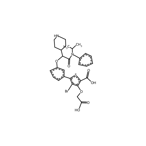 CC(C)N(C(=O)C(Oc1cccc(-c2sc(C(=O)O)c(OCC(=O)O)c2Br)c1)C1CCNCC1)c1ccccc1